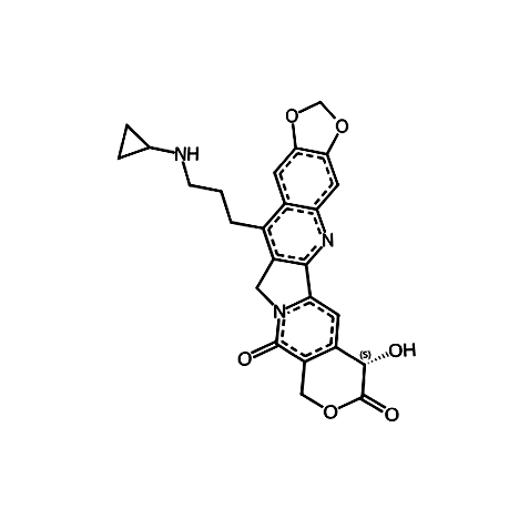 O=C1OCc2c(cc3n(c2=O)Cc2c-3nc3cc4c(cc3c2CCCNC2CC2)OCO4)[C@@H]1O